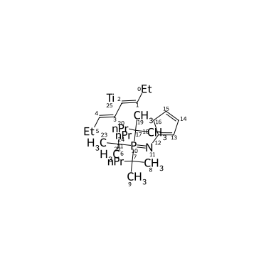 CCC=CC=CCC.CCCC(C)(C)P(=NC1=CC=CC1)(C(C)(C)CCC)C(C)(C)CCC.[Ti]